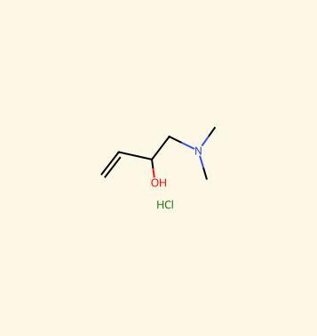 C=CC(O)CN(C)C.Cl